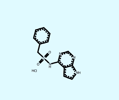 Cl.O=S(=O)(Cc1ccccc1)Nc1ncnc2[nH]ccc12